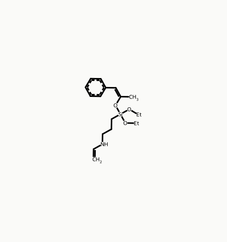 C=CNCCC[Si](OCC)(OCC)OC(C)=Cc1ccccc1